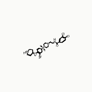 O=C(NCCN1CCN(S(=O)(=O)c2ccc(OC3CCNCC3)c(Br)c2)CC1)c1ccc(Cl)c(Cl)c1